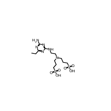 CCc1nc(N)nc(NCCN(CCCS(=O)(=O)O)CCCS(=O)(=O)O)n1